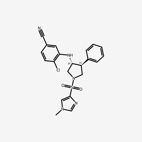 Cn1cnc(S(=O)(=O)N2C[C@H](Nc3cc(C#N)ccc3Cl)[C@@H](c3ccccc3)C2)c1